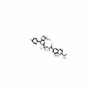 COc1cc(C(=O)NCC(O)(c2cc3c(c(-c4ccc(F)cc4)n2)OC[C@@]3(C)N)C(F)(F)F)cc2ccc(C(C)O)nc12